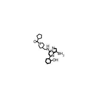 Bc1cnn2c(NCC3CCN(C(=O)C4CCCC4)CC3)cc(-c3ccccc3O)nc12